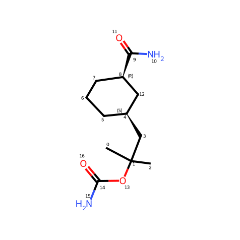 CC(C)(C[C@H]1CCC[C@@H](C(N)=O)C1)OC(N)=O